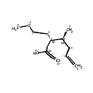 C=CC[C@H](C)[C@@H](CCOC)C(=O)O